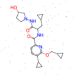 O=C(NC(CC1CC1)C(=O)NN1CCC(O)C1)c1ccc(C2CC2)c(OCC2CC2)n1